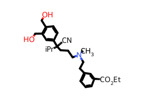 CCOC(=O)c1cccc(CCN(C)CCCC(C#N)(c2ccc(CO)c(CO)c2)C(C)C)c1